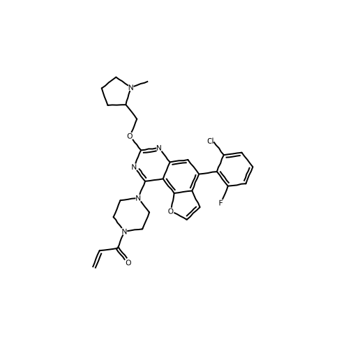 C=CC(=O)N1CCN(c2nc(OCC3CCCN3C)nc3cc(-c4c(F)cccc4Cl)c4ccoc4c23)CC1